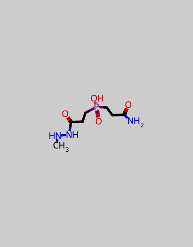 CNNC(=O)CCP(=O)(O)CCC(N)=O